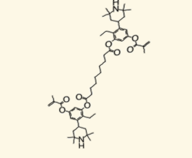 C=C(C)C(=O)Oc1cc(OC(=O)CCCCCCCCC(=O)Oc2cc(OC(=O)C(=C)C)cc(C3CC(C)(C)NC(C)(C)C3)c2CC)c(CC)c(C2CC(C)(C)NC(C)(C)C2)c1